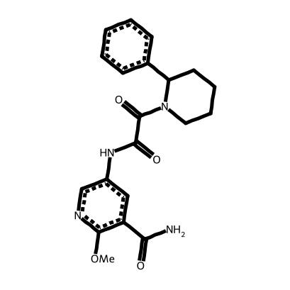 COc1ncc(NC(=O)C(=O)N2CCCCC2c2ccccc2)cc1C(N)=O